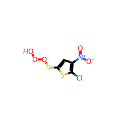 O=[N+]([O-])c1cc(SOOO)sc1Cl